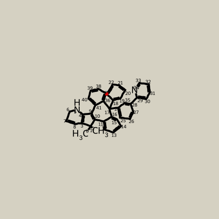 CC1(C)C2=C(NCC=C2)C2=C1c1ccccc1C(c1ccccc1)(c1cccc(-c3ccccn3)c1)c1ccccc12